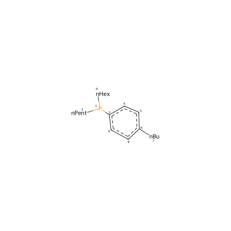 CCCCCCP(CCCCC)c1ccc(CCCC)cc1